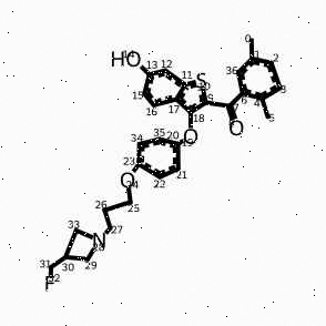 Cc1ccc(C)c(C(=O)c2sc3cc(O)ccc3c2Oc2ccc(OCCCN3CC(CF)C3)cc2)c1